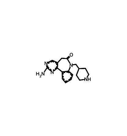 Nc1ncc2c(n1)-c1ccccc1N(CC1CCNCC1)C(=O)C2